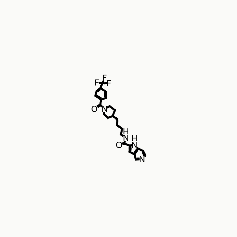 O=C(NCCCCC1CCN(C(=O)c2ccc(C(F)(F)F)cc2)CC1)c1cc2cnccc2[nH]1